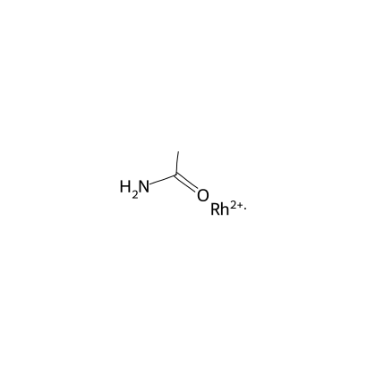 CC(N)=O.[Rh+2]